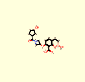 O=C(O)c1c(OC2CN(C(=O)[C@H]3CC[C@H](O)C3)C2)ccc2c1OB(O)CC2